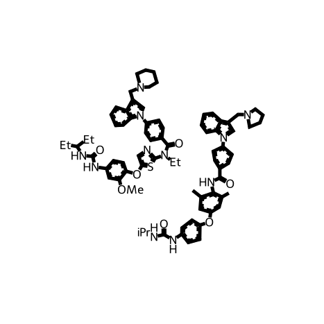 CCC(CC)NC(=O)Nc1ccc(Oc2cnc(N(CC)C(=O)c3ccc(-n4cc(CN5CCCCC5)c5ccccc54)cc3)s2)c(OC)c1.Cc1cc(Oc2ccc(NC(=O)NC(C)C)cc2)cc(C)c1NC(=O)c1ccc(-n2cc(CN3CCCC3)c3ccccc32)cc1